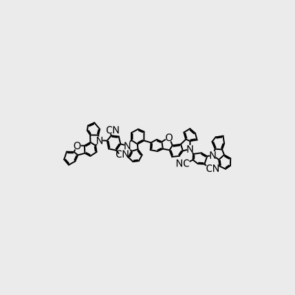 N#Cc1cc(C#N)c(-n2c3ccccc3c3c4oc5cc(-c6cccc7c6c6ccccc6n7-c6cc(C#N)c(-n7c8ccccc8c8c9oc%10ccccc%10c9ccc87)cc6C#N)ccc5c4ccc32)cc1-n1c2ccccc2c2ccccc21